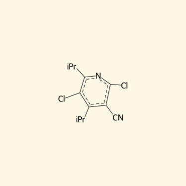 CC(C)c1nc(Cl)c(C#N)c(C(C)C)c1Cl